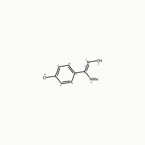 CN/C(=N\O)c1ccc(Cl)cc1